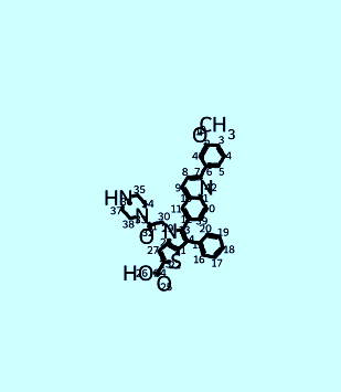 COc1cccc(-c2ccc3cc(-c4c(-c5ccccc5)c5sc(C(=O)O)cc5n4CC(=O)N4CCNCC4)ccc3n2)c1